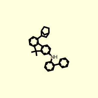 CC1(C)c2cc(Nc3ccccc3-c3ccccc3)ccc2-c2c(C3CC4CCC3C4)cccc21